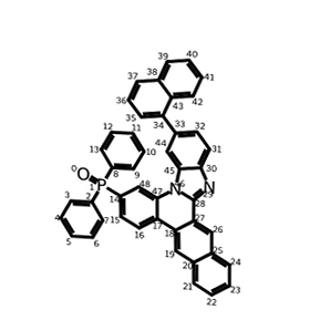 O=P(c1ccccc1)(c1ccccc1)c1ccc2c3cc4ccccc4cc3c3nc4ccc(-c5cccc6ccccc56)cc4n3c2c1